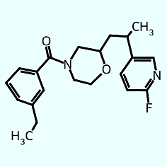 CCc1cccc(C(=O)N2CCOC(CC(C)c3ccc(F)nc3)C2)c1